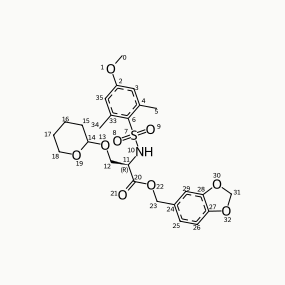 COc1cc(C)c(S(=O)(=O)N[C@H](COC2CCCCO2)C(=O)OCc2ccc3c(c2)OCO3)c(C)c1